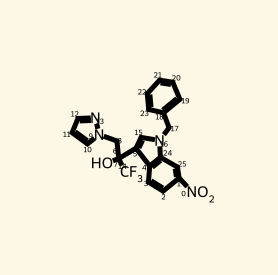 O=[N+]([O-])c1ccc2c(C(O)(Cn3cccn3)C(F)(F)F)cn(Cc3ccccc3)c2c1